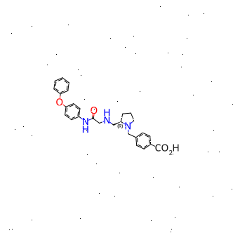 O=C(CNC[C@H]1CCCN1Cc1ccc(C(=O)O)cc1)Nc1ccc(Oc2ccccc2)cc1